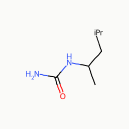 CC(C)CC(C)NC(N)=O